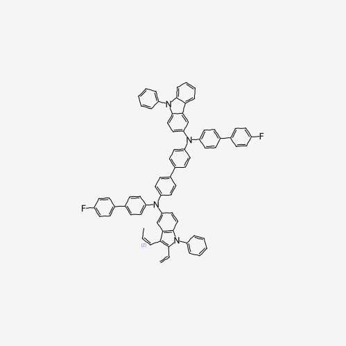 C=Cc1c(/C=C\C)c2cc(N(c3ccc(-c4ccc(F)cc4)cc3)c3ccc(-c4ccc(N(c5ccc(-c6ccc(F)cc6)cc5)c5ccc6c(c5)c5ccccc5n6-c5ccccc5)cc4)cc3)ccc2n1-c1ccccc1